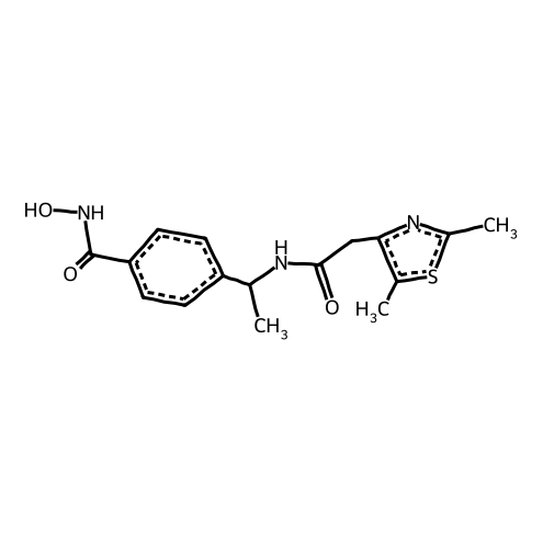 Cc1nc(CC(=O)NC(C)c2ccc(C(=O)NO)cc2)c(C)s1